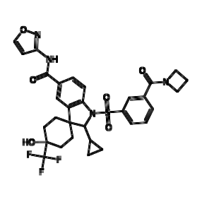 O=C(Nc1ccon1)c1ccc2c(c1)C1(CCC(O)(C(F)(F)F)CC1)C(C1CC1)N2S(=O)(=O)c1cccc(C(=O)N2CCC2)c1